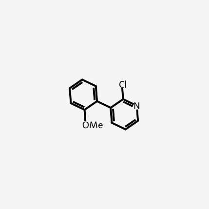 COc1ccccc1-c1cccnc1Cl